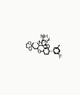 Cc1cc(F)cc(-c2ccc3c(c2)C2(N=C(N)N(C)C2=O)C2CCC4(CC2O3)OCCO4)c1